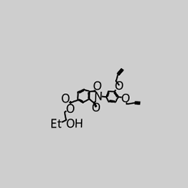 C#CCOc1ccc(N2C(=O)c3ccc(C(=O)OCC(O)CC)cc3C2=O)cc1OCC#C